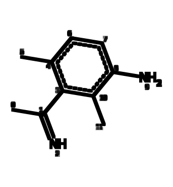 CC(=N)c1c(C)ccc(N)c1C